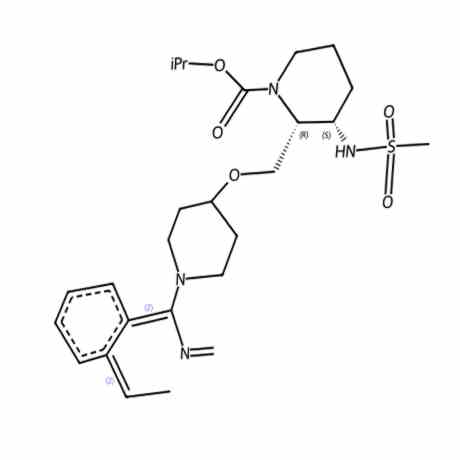 C=N/C(=c1/cccc/c1=C/C)N1CCC(OC[C@H]2[C@@H](NS(C)(=O)=O)CCCN2C(=O)OC(C)C)CC1